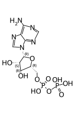 Nc1ncnc2c1ncn2[C@@H]1O[C@H](COP(=O)(O)OP(=O)(O)O)[C@H](O)[C@@H]1O